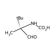 CC(C)(C)[C@@](C)(C=O)NC(=O)O